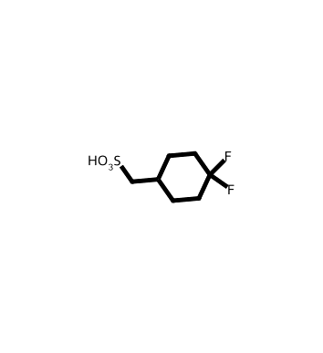 O=S(=O)(O)CC1CCC(F)(F)CC1